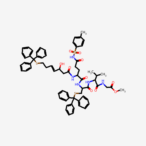 COC(=O)CNC(=O)C(NC(=O)C(CSC(c1ccccc1)(c1ccccc1)c1ccccc1)NC(=O)C(CCC(=O)NS(=O)(=O)c1ccc(C)cc1)NC(=O)CC(O)C=CCCSC(c1ccccc1)(c1ccccc1)c1ccccc1)C(C)C